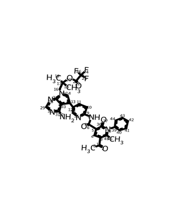 CC(=O)c1cc(C(=O)Nc2ccc(-c3cn(CC(C)(C)OC(=O)C(F)(F)F)c4ncnc(N)c34)cn2)c(=O)n(-c2ccccc2)c1C